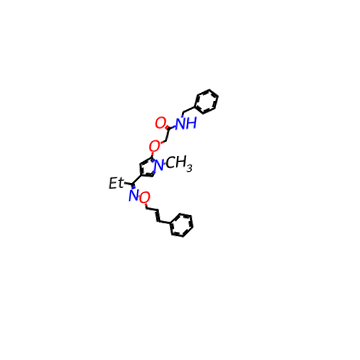 CCC(=NOCC=Cc1ccccc1)c1cc(OCC(=O)NCc2ccccc2)n(C)c1